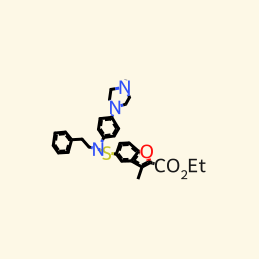 CCOC(=O)c1oc2ccc(SN(CCc3ccccc3)c3ccc(N4CCN(C)CC4)cc3)cc2c1C